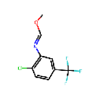 COC=Nc1cc(C(F)(F)F)ccc1Cl